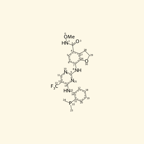 CONC(=O)c1ccc(Nc2ncc(C(F)(F)F)c(Nc3ccccc3P(C)C)n2)c2c1CCO2